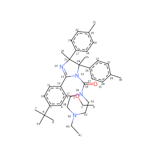 CCOc1cc(C(C)(C)C)ccc1C1=NC(C)(c2ccc(C)cc2)C(C)(c2ccc(C)cc2)N1C(=O)N1CCN(CC)CC1